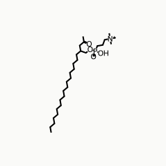 CCCCCCCCCCCCCCCCCCC(COP(=O)(O)CCC[N+](C)(C)C)CC(C)=O